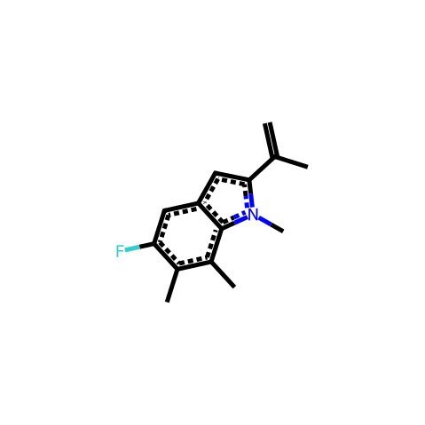 C=C(C)c1cc2cc(F)c(C)c(C)c2n1C